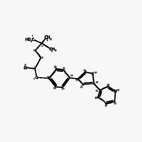 CCC(CCC(C)(C)C(=O)O)Oc1ccc(-c2csc(-c3cccnc3)n2)cc1